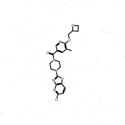 Cc1cc(C(=O)N2CCN(c3nc4nc(Cl)ccc4o3)CC2)cnc1OCC1CCO1